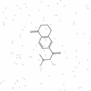 C[C@@H](C(=O)c1ccc2c(c1)CCCC2=O)N(C)C